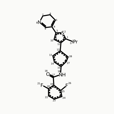 CC(C)c1sc(C2=CCCN=C2)cc1-c1ccc(NC(=O)c2c(F)cccc2F)cc1